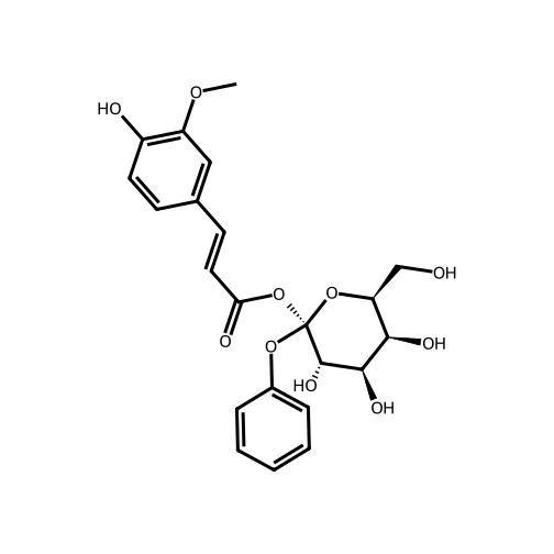 COc1cc(C=CC(=O)O[C@]2(Oc3ccccc3)O[C@@H](CO)[C@@H](O)[C@@H](O)[C@@H]2O)ccc1O